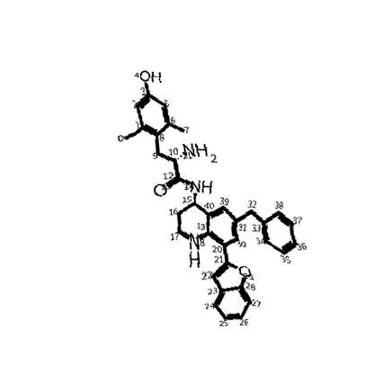 Cc1cc(O)cc(C)c1C[C@H](N)C(=O)N[C@@H]1CCNc2c(-c3cc4ccccc4o3)cc(Cc3ccccc3)cc21